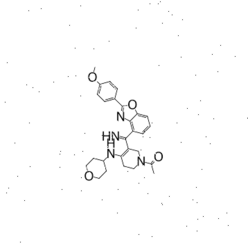 COc1ccc(-c2nc3c(C(=N)C4=C(NC5CCOCC5)CCN(C(C)=O)C4)cccc3o2)cc1